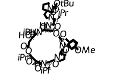 CC[C@H](C)[C@H]1NC(=O)[C@@H](NC(=O)[C@@H](CC(C)C)N2CCC3(CCCN3C(=O)OC(C)(C)C)C2=O)[C@@H](C)OC(=O)[C@H](Cc2ccc(OC)cc2)N(C)C(=O)[C@@H]2CCCN2C(=O)[C@H](CC(C)C)NC(=O)[C@@H](C)C(=O)[C@H](C(C)C)OC(=O)C[C@@H]1O